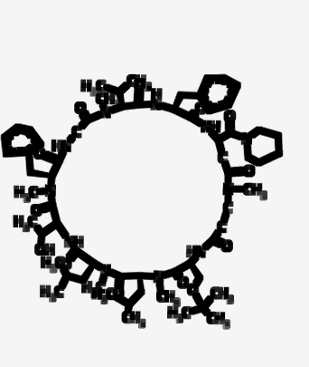 CC(C)C[C@H]1C(=O)N(C)[C@@H](CC(C)C)C(=O)NC(C(C)O)C(=O)N(C)[C@@H](Cc2ccccc2)C(=O)NCC(=O)N(C)[C@@H](C(C)C)C(=O)N[C@@H](Cc2ccccc2)C(=O)NC(C(=O)N2CCCCC2)CC(=O)N(C)CCC(=O)N[C@@H](COC(C)(C)C)C(=O)N1C